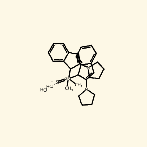 Cl.Cl.[CH3][Zr]([CH3])(=[SiH2])([CH]1C(N2CCCC2)=Cc2ccccc21)[CH]1C(N2CCCC2)=Cc2ccccc21